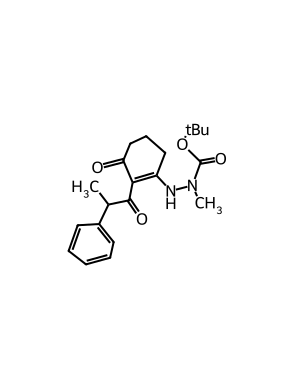 CC(C(=O)C1=C(NN(C)C(=O)OC(C)(C)C)CCCC1=O)c1ccccc1